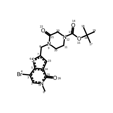 Cn1cc(Br)c2sc(CN3CCN(C(=O)OC(C)(C)C)CC3=O)cc2c1=O